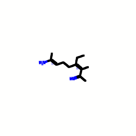 CC/C(CC/C=C(\C)N)=C(\C)C(C)=N